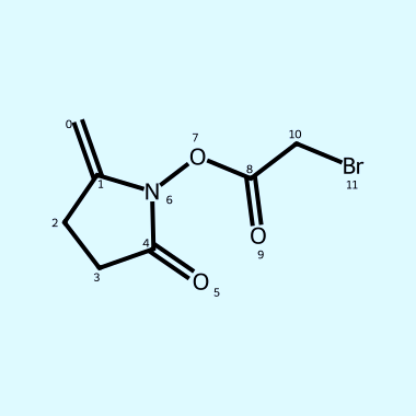 C=C1CCC(=O)N1OC(=O)CBr